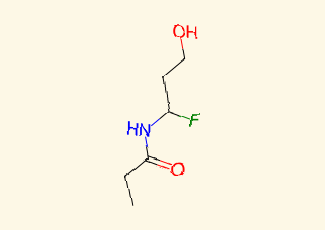 CCC(=O)NC(F)CCO